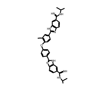 Cc1cc(-c2nc3ccc(C(=N)NC(C)C)cc3[nH]2)ccc1Oc1ccc(-c2nc3ccc(C(=N)NC(C)C)cc3[nH]2)cc1